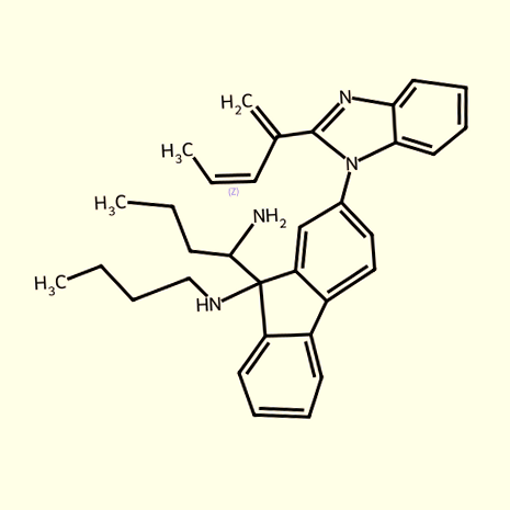 C=C(/C=C\C)c1nc2ccccc2n1-c1ccc2c(c1)C(NCCCC)(C(N)CCC)c1ccccc1-2